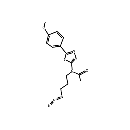 COc1ccc(-c2nnc(N(CCCN=[N+]=[N-])C(C)=O)s2)cc1